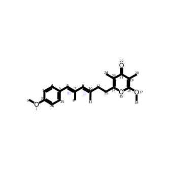 COc1ccc(/C=C(C)/C=C(\C)CCc2oc(OC)c(C)c(=O)c2C)cc1